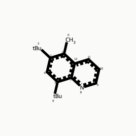 Cc1c(C(C)(C)C)cc(C(C)(C)C)c2ncccc12